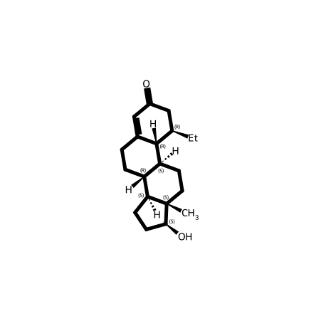 CC[C@@H]1CC(=O)C=C2CC[C@@H]3[C@H](CC[C@]4(C)[C@@H](O)CC[C@@H]34)[C@H]21